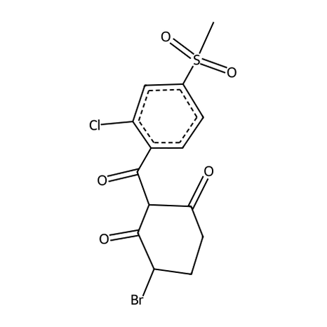 CS(=O)(=O)c1ccc(C(=O)C2C(=O)CCC(Br)C2=O)c(Cl)c1